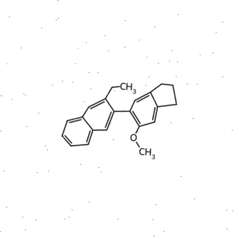 CCc1cc2ccccc2cc1-c1cc2c(cc1OC)CCC2